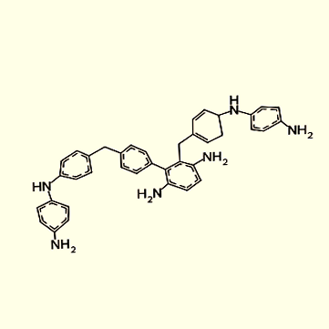 Nc1ccc(Nc2ccc(Cc3ccc(-c4c(N)ccc(N)c4CC4=CCC(Nc5ccc(N)cc5)C=C4)cc3)cc2)cc1